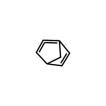 C1=CC2C=CC=1C2